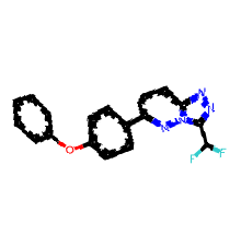 FC(F)c1nnc2ccc(-c3ccc(Oc4ccccc4)cc3)nn12